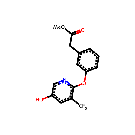 COC(=O)Cc1cccc(Oc2ncc(O)cc2C(F)(F)F)c1